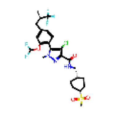 C[C@H](Cc1ccc(-c2c(Cl)c(C(=O)NC[C@H]3CC[C@H](S(C)(=O)=O)CC3)nn2C)c(OC(F)F)c1)C(F)(F)F